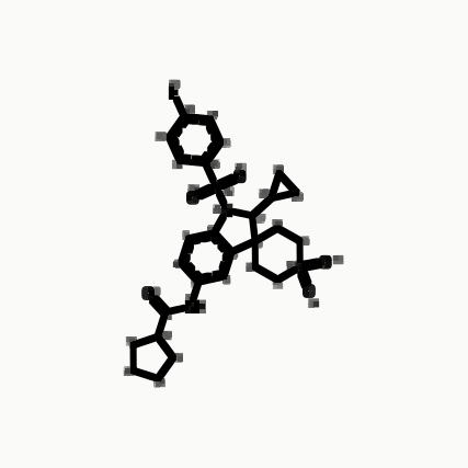 O=C(Nc1ccc2c(c1)C1(CCS(=O)(=O)CC1)C(C1CC1)N2S(=O)(=O)c1ccc(F)cc1)C1CCCC1